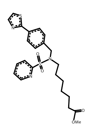 COC(=O)CCCCCCN(Cc1ccc(-c2nccs2)cc1)S(=O)(=O)c1ccccn1